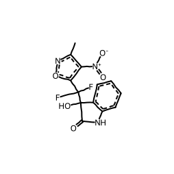 Cc1noc(C(F)(F)C2(O)C(=O)Nc3ccccc32)c1[N+](=O)[O-]